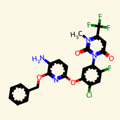 Cn1c(C(F)(F)F)cc(=O)n(-c2cc(Oc3ccc(N)c(OCc4ccccc4)n3)c(Cl)cc2F)c1=O